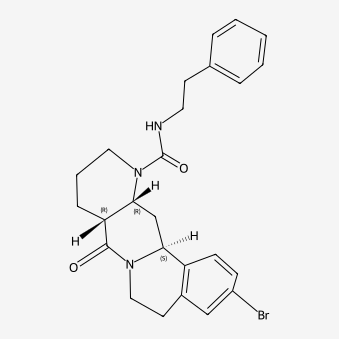 O=C(NCCc1ccccc1)N1CCC[C@H]2C(=O)N3CCc4cc(Br)ccc4[C@@H]3C[C@H]21